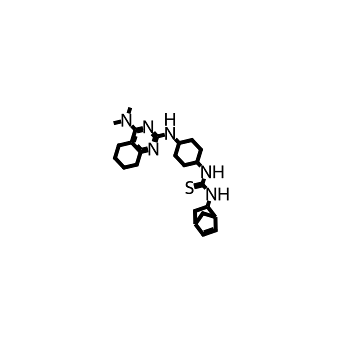 CN(C)c1nc(NC2CCC(NC(=S)NC3CC4C=CC3C4)CC2)nc2c1CCCC2